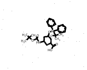 CC(C)(C)OC(=O)NC1CC(O[Si](c2ccccc2)(c2ccccc2)C(C)(C)C)CC(C(=O)O)C1